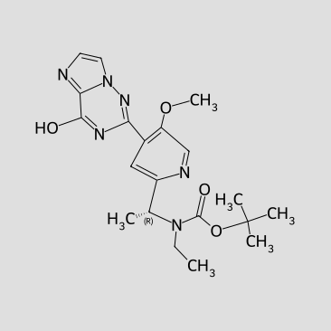 CCN(C(=O)OC(C)(C)C)[C@H](C)c1cc(-c2nc(O)c3nccn3n2)c(OC)cn1